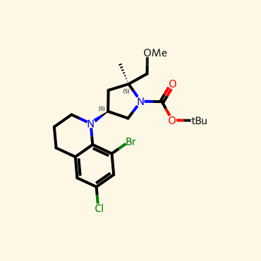 COC[C@]1(C)C[C@H](N2CCCc3cc(Cl)cc(Br)c32)CN1C(=O)OC(C)(C)C